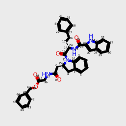 O=C(C[C@@H]1Cc2ccccc2N1C(=O)[C@H](CCc1ccccc1)NC(=O)c1cc2ccccc2[nH]1)NCC(=O)OCc1ccccc1